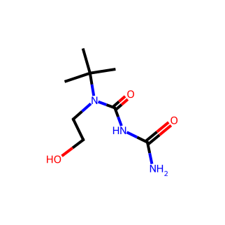 CC(C)(C)N(CCO)C(=O)NC(N)=O